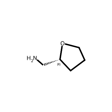 NC[C@H]1CCCO1